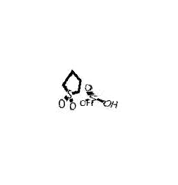 O=S(O)O.O=S1(=O)CCCC1